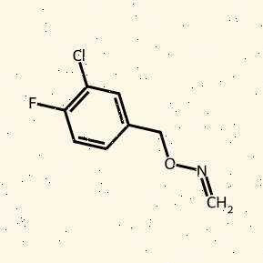 C=NOCc1ccc(F)c(Cl)c1